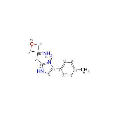 Cc1ccc(-c2c[nH]c(CC3(N)COC3)n2)cc1